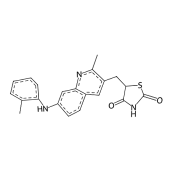 Cc1ccccc1Nc1ccc2cc(CC3SC(=O)NC3=O)c(C)nc2c1